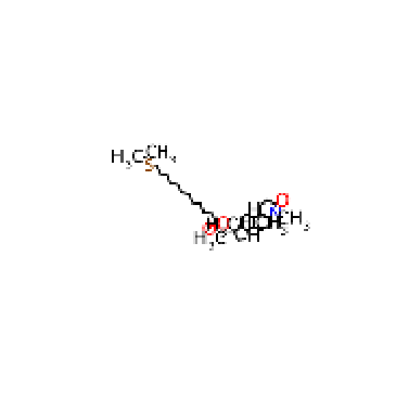 CC(C)SCCCCCCCCCCCC(=O)OC(C)[C@H]1CC[C@H]2[C@@H]3CC[C@H]4N(C)C(=O)CC[C@]4(C)[C@H]3CC[C@]12C